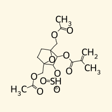 C=C(C)C(=O)OC1C(O[SH](=O)=O)C2(COC(C)=O)CCC1(COC(C)=O)O2